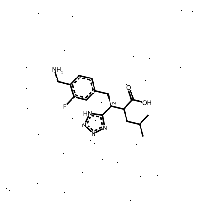 CC(C)CC(C(=O)O)[C@H](Cc1ccc(CN)c(F)c1)c1nnn[nH]1